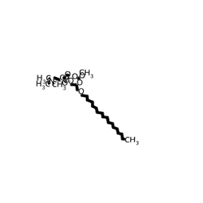 CCCCCCCCCCCCCCCCCCOCC(COP(=O)([O-])OCC[N+](C)(C)C)OC(=O)OC